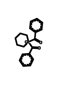 O=[C](c1ccccc1)[Ge]1([C](=O)c2ccccc2)[CH2]CCC[CH2]1